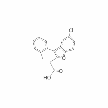 Cc1ccccc1-c1c(CC(=O)O)oc2ccc(Cl)cc12